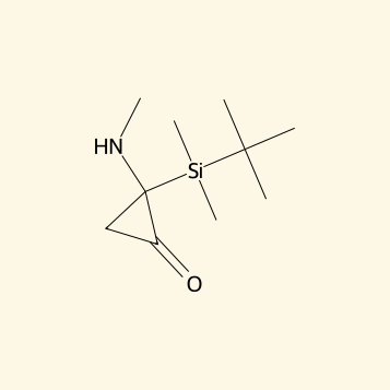 CNC1([Si](C)(C)C(C)(C)C)CC1=O